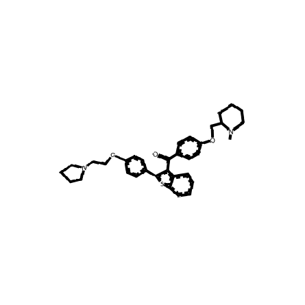 CN1CCCCC1COc1ccc(C(=O)c2c(-c3ccc(OCCN4CCCC4)cc3)sc3ccccc23)cc1